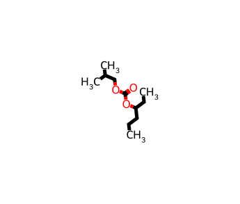 CCCC(CC)OC(=O)OCC(C)C